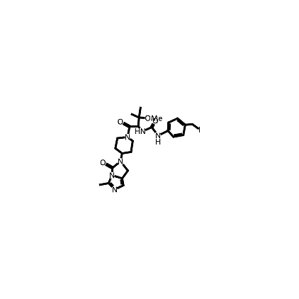 COC(C)(C)C(NC(=O)Nc1ccc(CI)cc1)C(=O)N1CCC(N2Cc3cnc(C)n3C2=O)CC1